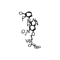 CC(C)(C)OC(=O)NCCOc1cc2ncnc(Nc3cccc(Cl)c3F)c2cc1[N+](=O)[O-]